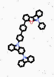 c1ccc(-n2c3ccccc3c3c4cccc(-c5ccc(-c6ccc(-n7c8ccccc8c8cc(-n9c%10ccccc%10c%10ccccc%109)ccc87)cc6)cc5)c4oc32)cc1